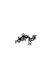 O=C(NCc1nc2cc(F)ccc2[nH]1)C1CCN(Cc2c[nH]c3ccc(C(F)(F)F)cc23)CC1